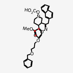 COC(=O)CO/N=C(/Cc1ccc2ccccc2c1)C1CN(OC(=O)O)CCC1c1ccc(OCCCOCc2ccccc2)cc1